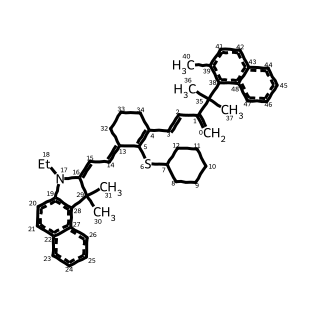 C=C(/C=C/C1=C(SC2CCCCC2)C(=C/C=C2/N(CC)c3ccc4ccccc4c3C2(C)C)/CCC1)C(C)(C)c1c(C)ccc2ccccc12